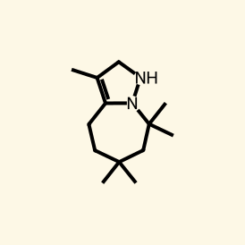 CC1=C2CCC(C)(C)CC(C)(C)N2NC1